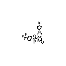 O=Nc1ccc(N2CCC3(CC2)CC(=O)NN3C(=O)Nc2ccc(C(F)(F)F)cc2)cc1